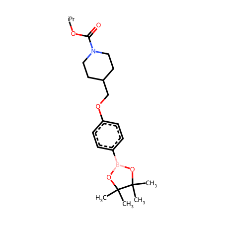 CC(C)OC(=O)N1CCC(COc2ccc(B3OC(C)(C)C(C)(C)O3)cc2)CC1